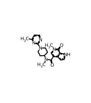 Cc1ccnc(N2CCC(N(C)C(=O)c3cn(C)c(=O)c4[nH]ccc34)CC2)n1